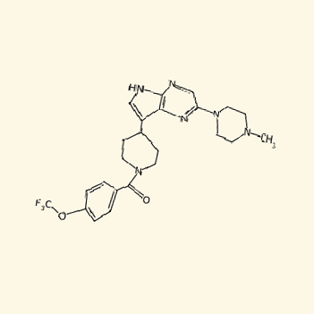 CN1CCN(c2cnc3[nH]cc(C4CCN(C(=O)c5ccc(OC(F)(F)F)cc5)CC4)c3n2)CC1